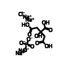 O=C(O)CC(O)(CC(=O)O)C(=O)O.O=P([O-])([O-])[O-].[Cl-].[Na+].[Na+].[Na+].[Na+]